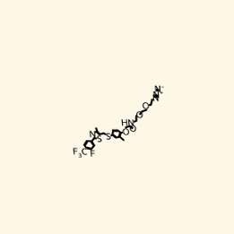 Cc1cc(SCc2sc(-c3ccc(C(F)(F)F)c(F)c3)nc2C)ccc1OCC(=O)NCCOCCOCCN=[N+]=[N-]